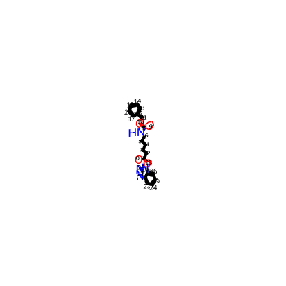 O=C(CCCCCNC(=O)OCc1ccccc1)On1nnc2ccccc21